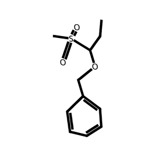 CCC(OCc1ccccc1)S(C)(=O)=O